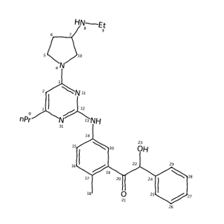 CCCc1cc(N2CCC(NCC)C2)nc(Nc2ccc(C)c(C(=O)C(O)c3ccccc3)c2)n1